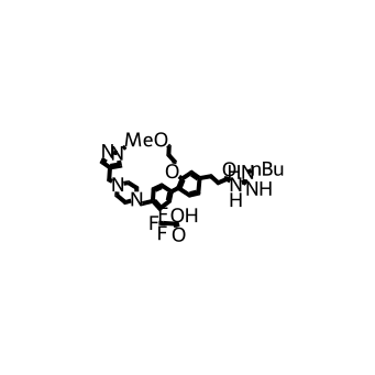 CCCCNC(=N)NC(=O)CCc1ccc(-c2ccc(CN3CCN(Cc4cnn(C)c4)CC3)cc2)c(OCCCOC)c1.O=C(O)C(F)(F)F